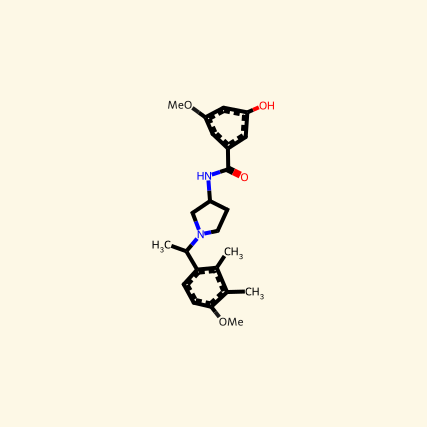 COc1cc(O)cc(C(=O)NC2CCN(C(C)c3ccc(OC)c(C)c3C)C2)c1